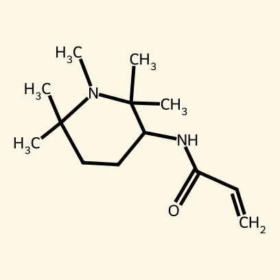 C=CC(=O)NC1CCC(C)(C)N(C)C1(C)C